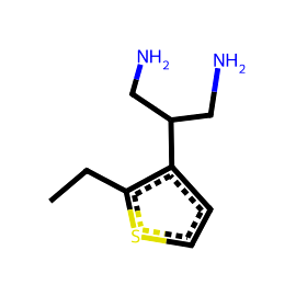 CCc1sccc1C(CN)CN